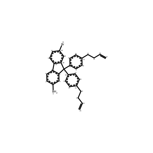 Bc1ccc2c(c1)C(c1ccc(CCC=C)cc1)(c1ccc(CCC=C)cc1)c1cc(Br)ccc1-2